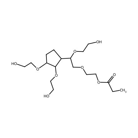 CCC(=O)OCCOCC(OCCO)C1CCC(OCCO)C1OCCO